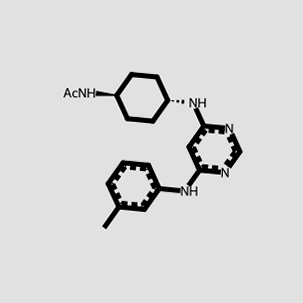 CC(=O)N[C@H]1CC[C@H](Nc2cc(Nc3cccc(C)c3)ncn2)CC1